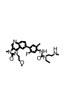 CCN(CCNC)C(=O)Nc1cc(F)c(-c2ccc3ncc4c(c3c2)n(CCOC)c(=O)n4C)cc1C